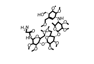 COCC1=C[C@@H](N[C@H]2C(C)O[C@@H](O[C@H]3C(COC)O[C@@H](O[C@H]4C(COC)OC(NC(=O)CN)C(OC)[C@@H]4OC)C(OC)[C@@H]3OC)C(OC)[C@@H]2OC)C(OC)[C@H](OC)[C@H]1CO